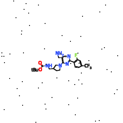 CC(C)(C)OC(=O)NCC1CCN(c2nc(-c3ccc(C(F)(F)F)cc3F)ncc2CN)C1